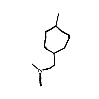 CC1CCC(CN(C)C)CC1